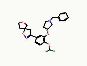 FC(F)Oc1ccc(C2=NOC3(CCOC3)C2)cc1O[C@H]1CCN(Cc2ccccc2)C1